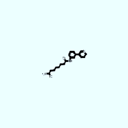 O=C(CCCCCCC(=O)C(F)(F)F)Nc1cccc(-c2cccnc2)c1